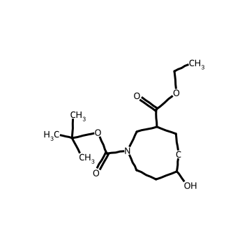 CCOC(=O)C1CCC(O)CCN(C(=O)OC(C)(C)C)C1